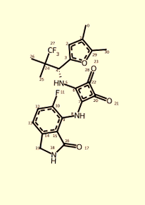 Cc1cc([C@H](Nc2c(Nc3c(F)ccc4c3C(=O)NC4)c(=O)c2=O)C(C)(C)C(F)(F)F)oc1C